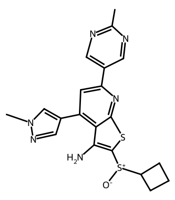 Cc1ncc(-c2cc(-c3cnn(C)c3)c3c(N)c([S+]([O-])C4CCC4)sc3n2)cn1